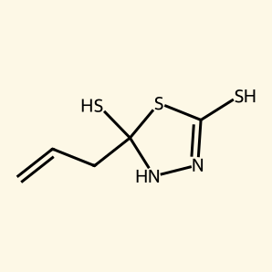 C=CCC1(S)NN=C(S)S1